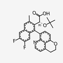 Cc1cc2cc(F)c(F)cc2c(-c2ccc3c4c(ccnc24)CCO3)c1[C@@H](OC(C)(C)C)C(=O)O